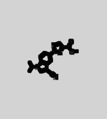 COC(=O)c1cnn(-c2ccc3c(c2)c(C#N)cn3C(C)C)n1